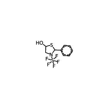 OC1CN(S(F)(F)(F)(F)F)C(c2ccccc2)S1